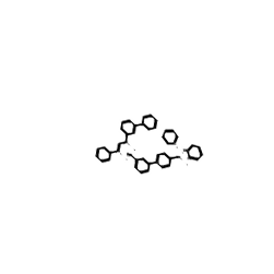 c1ccc(-c2cccc(-c3cc(-c4ccccc4)nc(-c4cccc(-c5ccc(-c6nc7ccccc7n6-c6ccccc6)cc5)c4)n3)c2)cc1